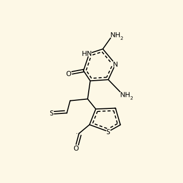 Nc1nc(N)c(C(CC=S)c2ccsc2[C]=O)c(=O)[nH]1